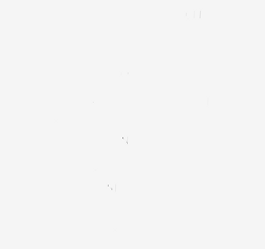 CCNC(=O)C(=NOC)c1ccccc1COc1cc(C)cc(C)c1